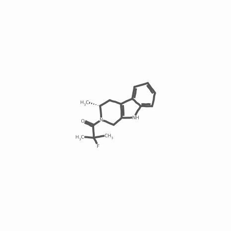 C[C@@H]1Cc2c([nH]c3ccccc23)CN1C(=O)C(C)(C)F